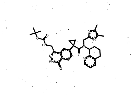 Cc1nc(CN(C(=O)C2(c3ccc4c(=O)[nH]nc(CNC(=O)OC(C)(C)C)c4c3)CC2)C2CCCc3cccnc32)sc1I